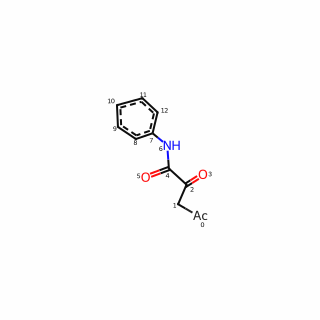 CC(=O)CC(=O)C(=O)Nc1ccccc1